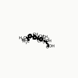 CCC(O)(CC)c1cccc(-c2ccc(C(CC)(CC)c3ccc(OCC(O)CCC(=O)O)c(C)c3)cc2C)c1